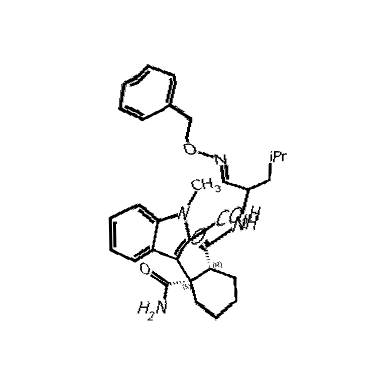 CC(C)CC(C=NOCc1ccccc1)NC(=O)[C@@H]1CCCC[C@@]1(C(N)=O)c1c(C(=O)O)n(C)c2ccccc12